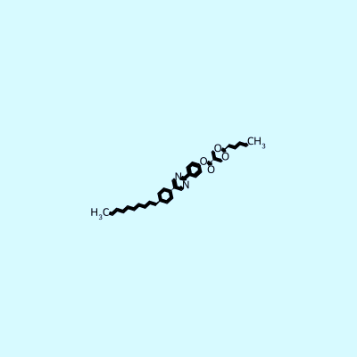 CCCCCCCCCC[C@H]1CC[C@H](c2cnc(-c3ccc(OC(=O)[C@H]4CO[C@H](CCCCC)OC4)cc3)nc2)CC1